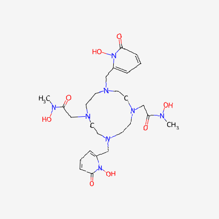 CN(O)C(=O)CN1CCN(Cc2cccc(=O)n2O)CCN(CC(=O)N(C)O)CCN(Cc2cccc(=O)n2O)CC1